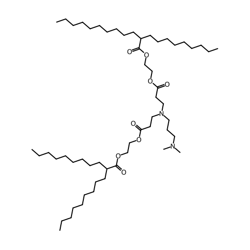 CCCCCCCCCCC(CCCCCCCCC)C(=O)OCCOC(=O)CCN(CCCN(C)C)CCC(=O)OCCOC(=O)C(CCCCCCCCC)CCCCCCCCC